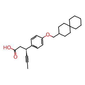 CC#C[C@@H](CC(=O)O)c1ccc(OCC2CCC3(CCCCC3)CC2)cc1